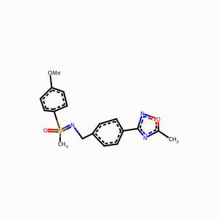 COc1ccc(S(C)(=O)=NCc2ccc(-c3noc(C)n3)cc2)cc1